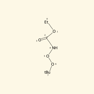 CCOC(=O)NOOC(C)(C)C